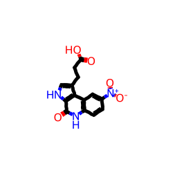 O=C(O)CCc1c[nH]c2c(=O)[nH]c3ccc([N+](=O)[O-])cc3c12